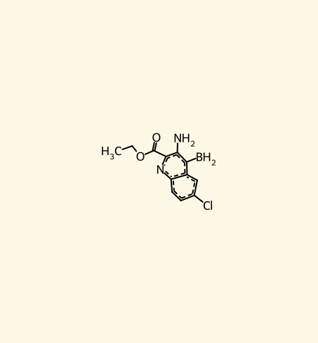 Bc1c(N)c(C(=O)OCC)nc2ccc(Cl)cc12